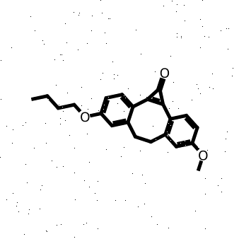 CCCCOc1ccc2c(c1)CCc1cc(OC)ccc1-c1c-2c1=O